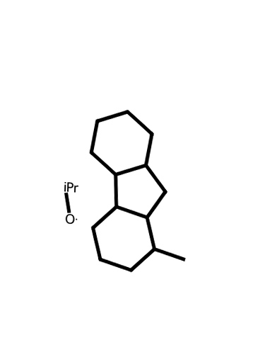 CC(C)[O].CC1CCCC2C1CC1CCCCC12